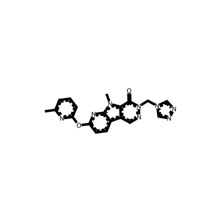 Cc1cccc(Oc2ccc3c4cnn(Cn5cnnc5)c(=O)c4n(C)c3n2)n1